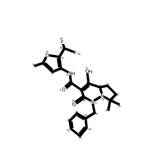 Cc1cc(NC(=O)C2=C(O)C3CCC(C)(C)N3N(Cc3ccccc3)C2=O)c(C(F)F)o1